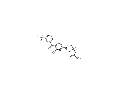 CC1(OC(N)=O)CCN(c2cnc(C(=O)c3cccc(C(F)(F)F)c3)c(Cl)n2)CC1